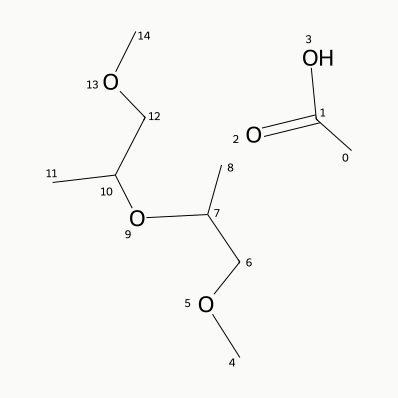 CC(=O)O.COCC(C)OC(C)COC